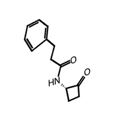 O=C(CCc1ccccc1)N[C@H]1CCC1=O